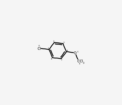 Clc1ccc(OC(Cl)(Cl)Cl)cc1